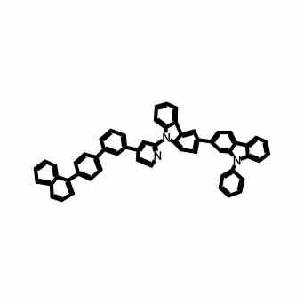 c1ccc(-n2c3ccccc3c3ccc(-c4ccc5c(c4)c4ccccc4n5-c4cc(-c5cccc(-c6ccc(-c7cccc8ccccc78)cc6)c5)ccn4)cc32)cc1